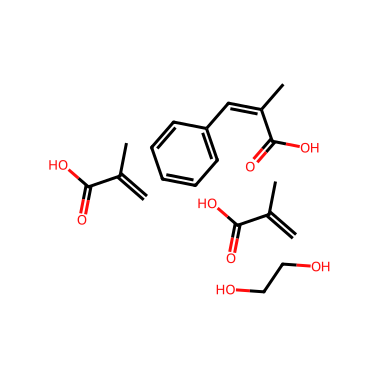 C=C(C)C(=O)O.C=C(C)C(=O)O.CC(=Cc1ccccc1)C(=O)O.OCCO